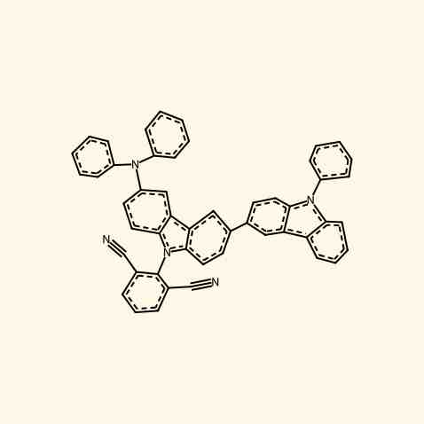 N#Cc1cccc(C#N)c1-n1c2ccc(-c3ccc4c(c3)c3ccccc3n4-c3ccccc3)cc2c2cc(N(c3ccccc3)c3ccccc3)ccc21